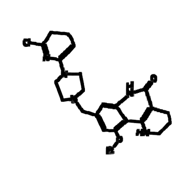 CCOc1cc(CN2CCN(C3=CCCC(Cl)=N3)CC2)cc2[nH]c(=O)c3c(c12)NCCC3